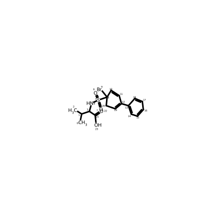 CC(C)C(NS(=O)(=O)C1(Br)C=CC(c2ccccc2)=CC1)C(=O)O